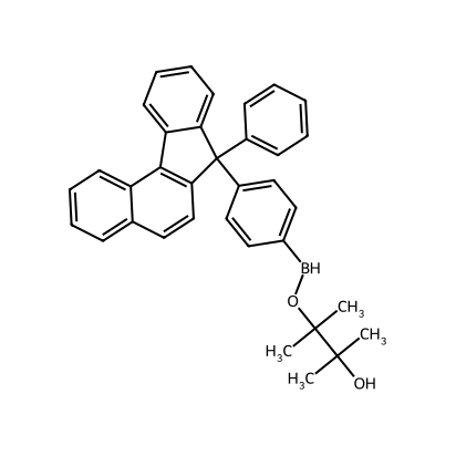 CC(C)(O)C(C)(C)OBc1ccc(C2(c3ccccc3)c3ccccc3-c3c2ccc2ccccc32)cc1